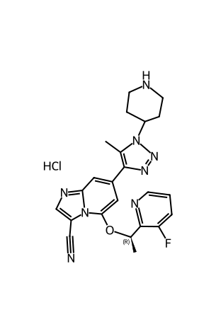 Cc1c(-c2cc(O[C@H](C)c3ncccc3F)n3c(C#N)cnc3c2)nnn1C1CCNCC1.Cl